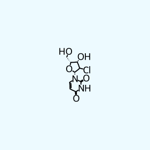 O=c1ccn([C@@H]2O[C@H](CO)[C@H](O)C2Cl)c(=O)[nH]1